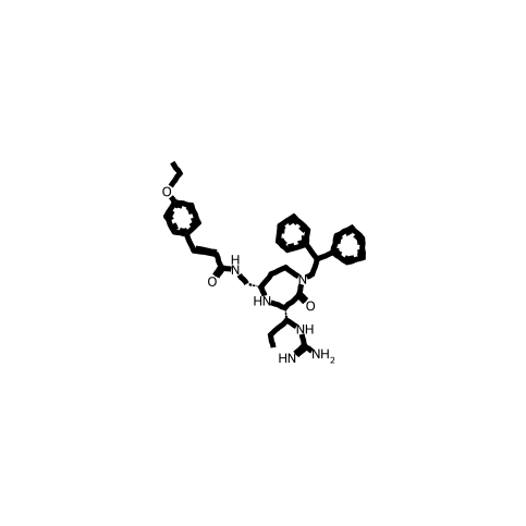 CCOc1ccc(/C=C/C(=O)NC[C@@H]2CCN(CC(c3ccccc3)c3ccccc3)C(=O)[C@H](C(CC)NC(=N)N)N2)cc1